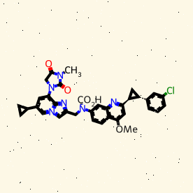 COc1cc([C@H]2C[C@@H]2c2cccc(Cl)c2)nc2cc(N(Cc3cn4cc(C5CC5)cc(N5CC(=O)N(C)C5=O)c4n3)C(=O)O)ccc12